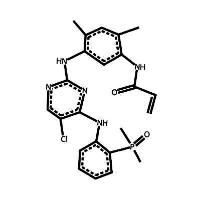 C=CC(=O)Nc1cc(Nc2ncc(Cl)c(Nc3ccccc3P(C)(C)=O)n2)c(C)cc1C